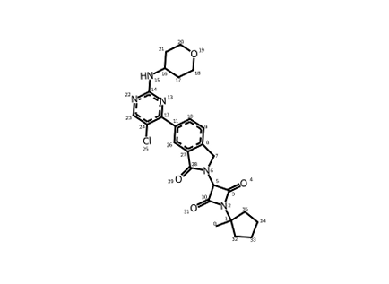 CC1(N2C(=O)C(N3Cc4ccc(-c5nc(NC6CCOCC6)ncc5Cl)cc4C3=O)C2=O)CCCC1